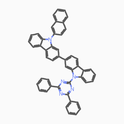 c1ccc(-c2nc(-c3ccccc3)nc(-n3c4ccccc4c4ccc(-c5ccc6c7ccccc7n(-c7ccc8ccccc8c7)c6c5)cc43)n2)cc1